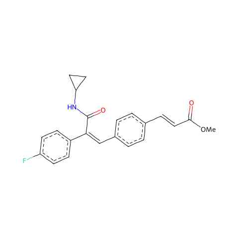 COC(=O)/C=C/c1ccc(C=C(C(=O)NC2CC2)c2ccc(F)cc2)cc1